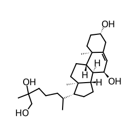 CC(CCCC(C)(O)CO)[C@H]1CC[C@H]2[C@@H]3[C@H](O)C=C4C[C@@H](O)CC[C@]4(C)[C@H]3CC[C@]12C